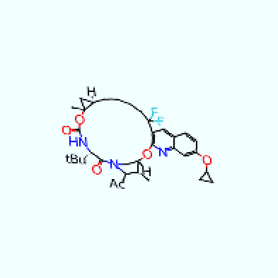 CC(=O)[C@@H]1[C@H](C)[C@@H]2CN1C(=O)[C@H](C(C)(C)C)NC(=O)O[C@]1(C)C[C@H]1CCCCC(F)(F)c1cc3ccc(OC4CC4)cc3nc1O2